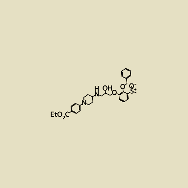 CCOC(=O)c1ccc(N2CCC(NCC(O)COc3cccc([S+](C)[O-])c3OCc3ccccc3)CC2)cc1